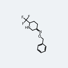 FC(F)(F)C1CCC(=NOCc2ccccc2)CN1